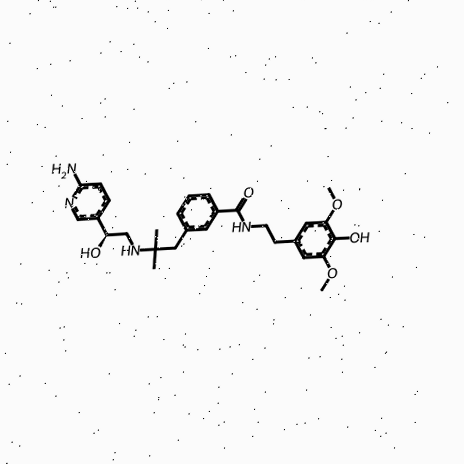 COc1cc(CCNC(=O)c2cccc(CC(C)(C)NC[C@@H](O)c3ccc(N)nc3)c2)cc(OC)c1O